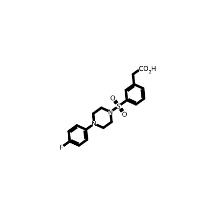 O=C(O)Cc1cccc(S(=O)(=O)N2CCN(c3ccc(F)cc3)CC2)c1